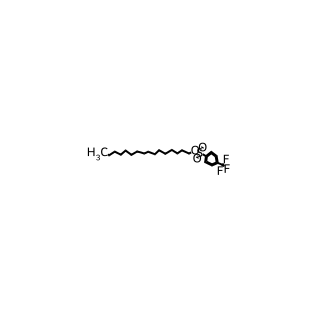 CCCCCCCCCCCCCCCCOS(=O)(=O)c1ccc(C(F)(F)F)cc1